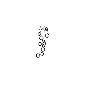 CN(CCOc1ccc(-n2ccn(-c3ccc(Oc4ccccc4)cc3)c2=O)cc1)C1CCN(Cc2ccccc2)C1